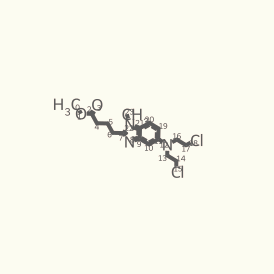 COC(=O)CCCc1nc2cc(N(CCCl)CCCl)ccc2n1C